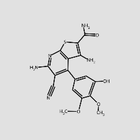 COc1cc(-c2c(C#N)c(N)nc3sc(C(N)=O)c(N)c23)cc(O)c1OC